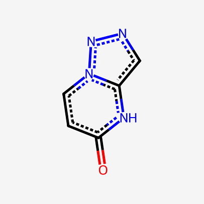 O=c1ccn2nncc2[nH]1